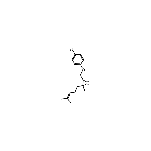 CCc1ccc(OCC2OC2(C)CCC=C(C)C)cc1